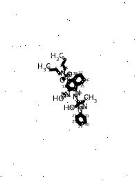 CCCCN(CCCC)S(=O)(=O)c1cc(N=NO)c(N=Nc2c(C)nn(-c3ccccc3)c2O)c2ccccc12